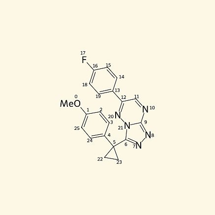 COc1ccc(C2(c3nnc4ncc(-c5ccc(F)cc5)nn34)CC2)cc1